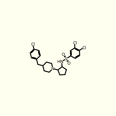 O=S(=O)(NC1CCCC1N1CCC(Cc2ccc(Cl)cc2)CC1)c1ccc(Cl)c(Cl)c1